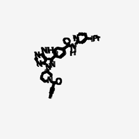 CC#CC(=O)N1CCC[C@@H](n2nc(-c3ccc(C(=O)Nc4cc(C(C)C)ccn4)cc3)c3c(N)ncnc32)C1